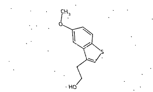 COc1ccc2scc(CCO)c2c1